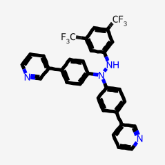 FC(F)(F)c1cc(NN(c2ccc(-c3cccnc3)cc2)c2ccc(-c3cccnc3)cc2)cc(C(F)(F)F)c1